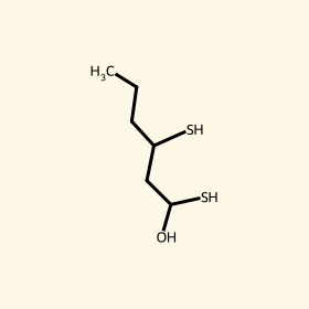 CCCC(S)CC(O)S